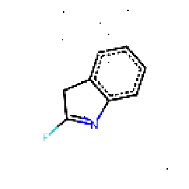 FC1=Nc2ccccc2C1